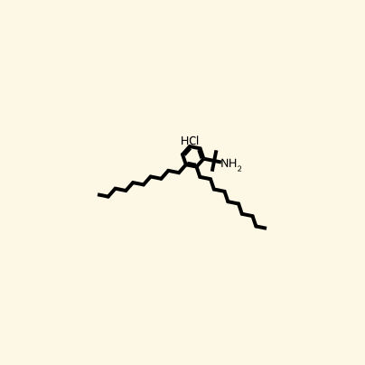 CCCCCCCCCCc1cccc(C(C)(C)N)c1CCCCCCCCCC.Cl